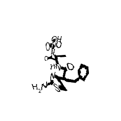 CC1C(NC(=O)C(=Cc2ccccc2)c2csc(N)n2)C(=O)N1S(=O)(=O)O